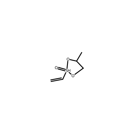 C=C[SH]1(=O)OCC(C)O1